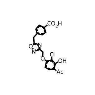 CC(=O)c1ccc(OCc2noc(Cc3ccc(C(=O)O)cc3)n2)c(Cl)c1O